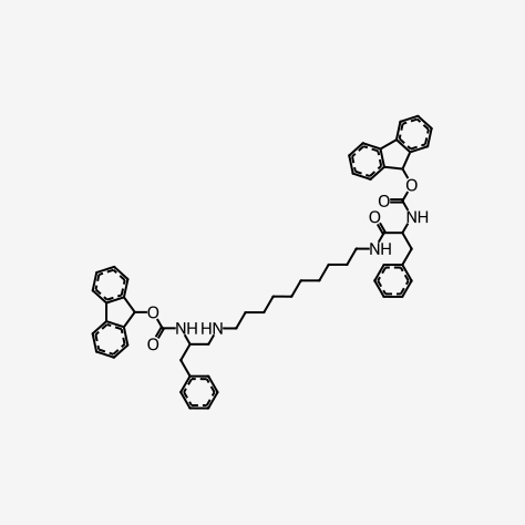 O=C(NC(CNCCCCCCCCCCNC(=O)C(Cc1ccccc1)NC(=O)OC1c2ccccc2-c2ccccc21)Cc1ccccc1)OC1c2ccccc2-c2ccccc21